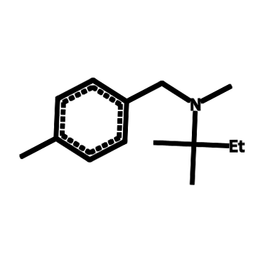 CCC(C)(C)N(C)Cc1ccc(C)cc1